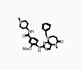 COc1cc(C(=O)NC2CCN(C)CC2)ccc1Nc1ncc2c(n1)N(Cc1ccccc1)CCC(=O)N2C